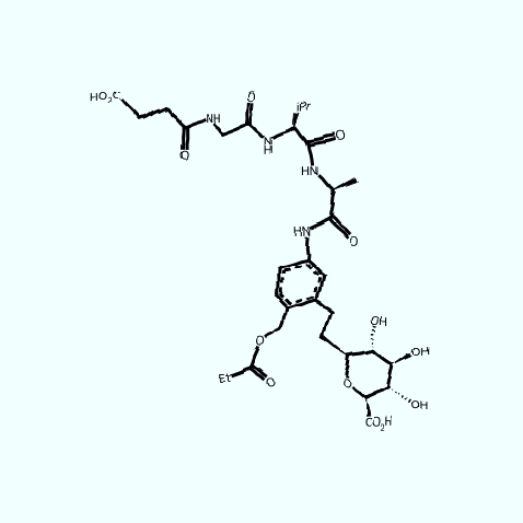 CCC(=O)OCc1ccc(NC(=O)[C@H](C)NC(=O)[C@@H](NC(=O)CNC(=O)CCC(=O)O)C(C)C)cc1CC[C@@H]1O[C@H](C(=O)O)[C@@H](O)[C@H](O)[C@H]1O